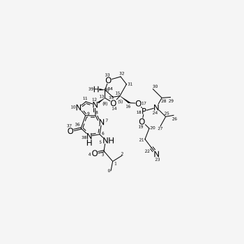 CC(C)C(=O)Nc1nc2c(ncn2[C@@H]2O[C@@]3(COP(OCCC#N)N(C(C)C)C(C)C)CCO[C@@H]2C3)c(=O)[nH]1